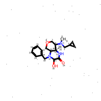 CN(CC1CC1)C1COCC2[C@@H]1NC(=O)C(O)N2Cc1ccccc1